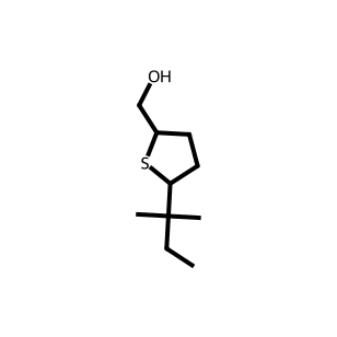 CCC(C)(C)C1CCC(CO)S1